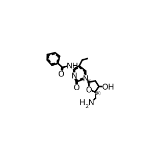 CCc1cn([C@H]2CC(O)[C@@H](CN)O2)c(=O)nc1NC(=O)c1ccccc1